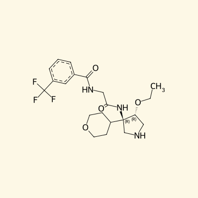 CCO[C@@H]1CNC[C@]1(NC(=O)CNC(=O)c1cccc(C(F)(F)F)c1)C1CCOCC1